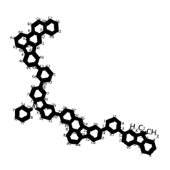 CC1(C)c2ccccc2-c2ccc(-c3cccc(-c4ccc5c(c4)-c4cc6ccc(-c7ccc8c(c7)c7cc(-c9cccc(-c%10ccc%11c(c%10)-c%10cc%12c%13ccccc%13ccc%12c%12cccc-%11c%10%12)c9)ccc7n8-c7ccccc7)cc6c6cccc-5c46)c3)cc21